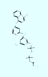 COc1cc(Nc2cc(Oc3ccc(C)c4ccccc34)ccn2)cc(OC(C)(C)COC(C)(C)CC(=O)O)c1